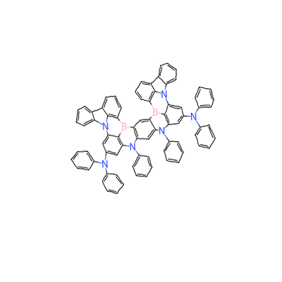 c1ccc(N(c2ccccc2)c2cc3c4c(c2)-n2c5ccccc5c5cccc(c52)B4c2cc4c(cc2N3c2ccccc2)N(c2ccccc2)c2cc(N(c3ccccc3)c3ccccc3)cc3c2B4c2cccc4c5ccccc5n-3c24)cc1